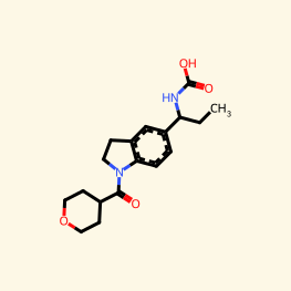 CCC(NC(=O)O)c1ccc2c(c1)CCN2C(=O)C1CCOCC1